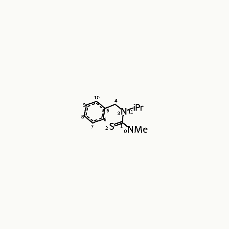 CNC(=S)N(Cc1ccccc1)C(C)C